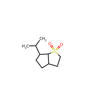 CC(C)C1CCC2CCS(=O)(=O)C21